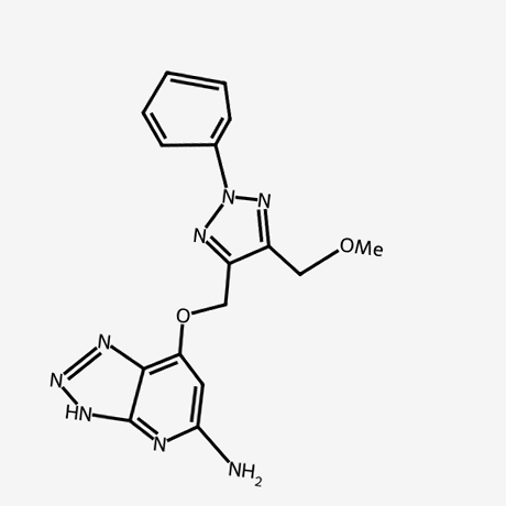 COCc1nn(-c2ccccc2)nc1COc1cc(N)nc2[nH]nnc12